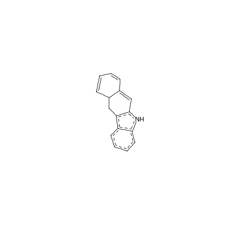 C1=CC2=Cc3[nH]c4ccccc4c3CC2C=C1